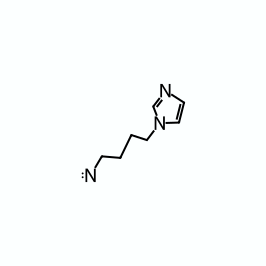 [N]CCCCn1ccnc1